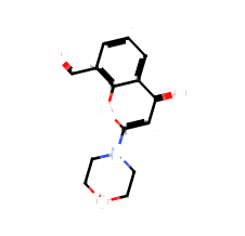 O=Cc1cccc2c(=O)cc(N3CCOCC3)oc12